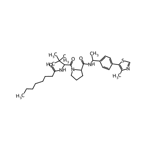 CCCCCCCC(=O)NC(C(=O)N1CCCC1C(=O)NC(C)c1ccc(-c2scnc2C)cc1)C(C)(C)C